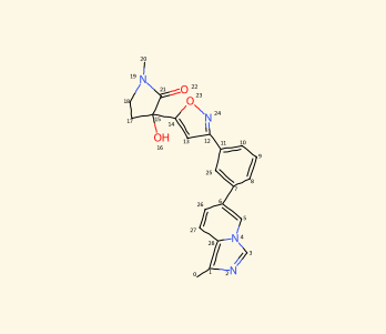 Cc1ncn2cc(-c3cccc(-c4cc(C5(O)CCN(C)C5=O)on4)c3)ccc12